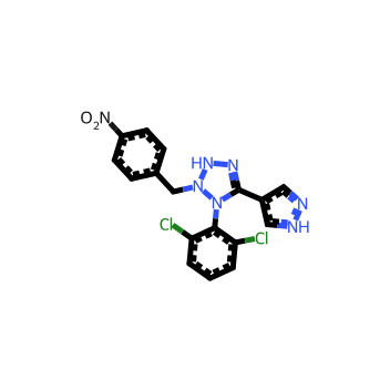 O=[N+]([O-])c1ccc(CN2NN=C(c3cn[nH]c3)N2c2c(Cl)cccc2Cl)cc1